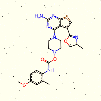 COc1ccc(NC(=O)ON2CCN(c3nc(N)nc4scc(C5=NC(C)CO5)c34)CC2)c(C)c1